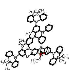 CSN1c2cc3c(cc2B2c4cc5c(cc4Oc4cc(N6c7ccccc7[Si](C)(C)c7ccccc76)cc1c42)N(SC)c1cc(N2c4ccccc4[Si](C)(C)c4ccccc42)cc2c1B5c1ccccc1O2)B1c2ccccc2N(c2ccccc2)c2cc(N4c5ccccc5[Si](C)(C)c5ccccc54)cc(c21)N3